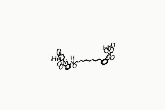 O=C1CCC(N2Cc3c(CCCCCCCCCC(=O)Nc4cccc5c4CN(C4CCC(=O)NC4=O)C5=O)cccc3C2=O)C(=O)N1